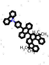 CC1(C)c2ccccc2-c2c1ccc1c(-c3c4ccccc4c(-c4ccc(-n5c6ccccc6c6ccccc65)cc4)c4ccccc34)cc3c(c21)-c1ccccc1C3(C)C